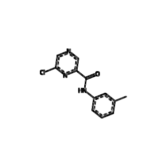 Cc1cccc(NC(=O)c2cncc(Cl)n2)c1